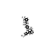 Cn1cc(-c2sc3ncnc(N)c3c2C(=O)Nc2ccc(NC(=O)Nc3cccc(C(F)(F)F)c3F)cc2)cn1